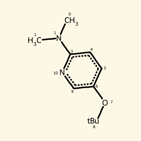 CN(C)c1ccc(OC(C)(C)C)cn1